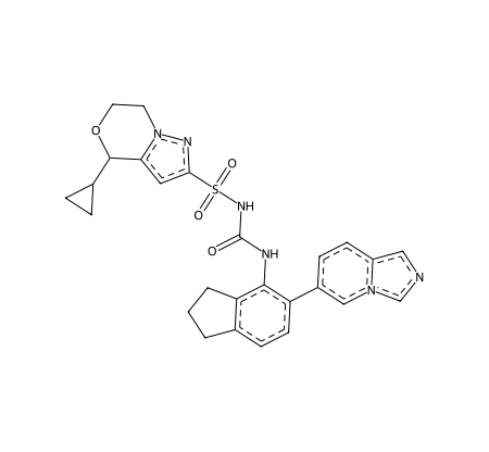 O=C(Nc1c(-c2ccc3cncn3c2)ccc2c1CCC2)NS(=O)(=O)c1cc2n(n1)CCOC2C1CC1